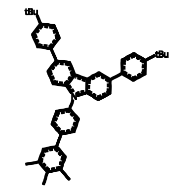 Cc1cc(-c2ccc(-n3c4ccc(-c5ccc(C(C)(C)C)cc5)cc4c4cc(-c5ccc(C(C)(C)C)cc5)ccc43)cc2)cc(C)c1C